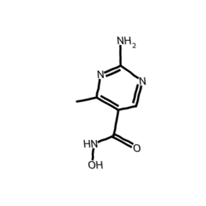 Cc1nc(N)ncc1C(=O)NO